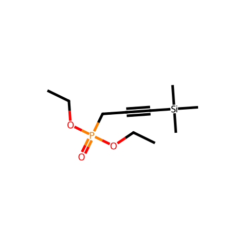 CCOP(=O)(CC#C[Si](C)(C)C)OCC